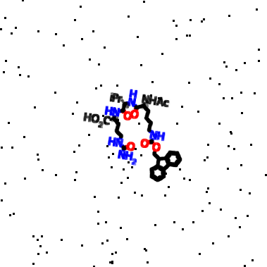 CC(=O)N[C@@H](CCCCNC(=O)OCC1c2ccccc2-c2ccccc21)C(=O)N[C@H](C(=O)N[C@@H](CCCNC(N)=O)C(=O)O)C(C)C